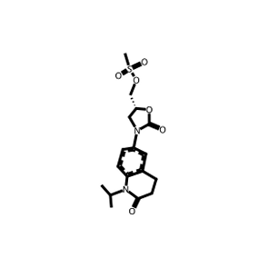 CC(C)N1C(=O)CCc2cc(N3C[C@H](COS(C)(=O)=O)OC3=O)ccc21